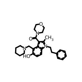 Cc1c(C(=O)N2CCOCC2)c2c(CN3CCCCC3)c(O)ccc2n1CCc1ccccc1